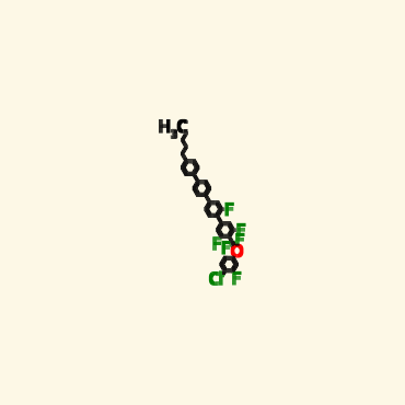 CCCCCc1ccc(-c2ccc(-c3ccc(-c4cc(F)c(C(F)(F)Oc5ccc(Cl)c(F)c5)c(F)c4)c(F)c3)cc2)cc1